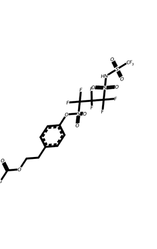 CCC(C)C(=O)OCCc1ccc(OS(=O)(=O)C(F)(F)C(F)(F)C(F)(F)S(=O)(=O)NS(=O)(=O)C(F)(F)F)cc1